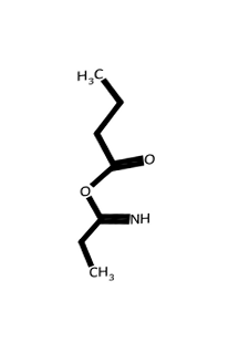 CCCC(=O)OC(=N)CC